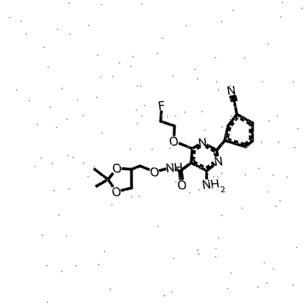 CC1(C)OCC(CONC(=O)c2c(N)nc(-c3cccc(C#N)c3)nc2OCCF)O1